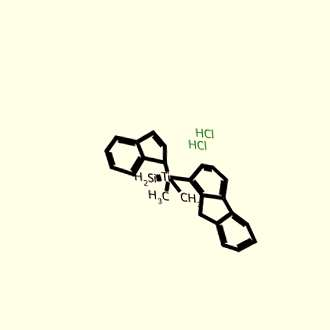 Cl.Cl.[CH3][Ti]([CH3])(=[SiH2])([c]1cccc2c1Cc1ccccc1-2)[CH]1C=Cc2ccccc21